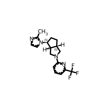 Cc1nccn1[C@H]1CC[C@@H]2CN(c3cccc(C(F)(F)F)n3)C[C@@H]21